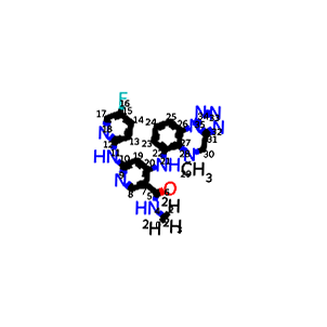 [2H]C([2H])([2H])NC(=O)c1cnc(Nc2ccc(F)cn2)cc1Nc1cccc2c1N(C)Cc1nnnn1-2